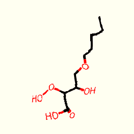 CCCCCOCC(O)C(OO)C(=O)O